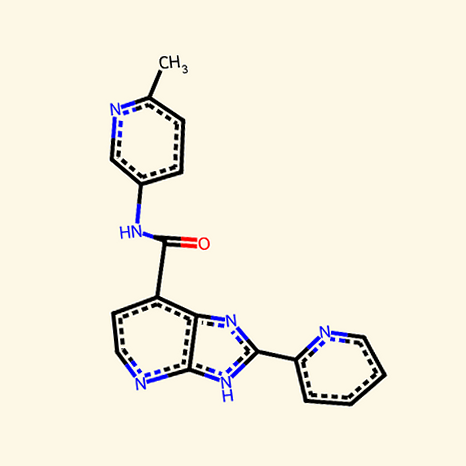 Cc1ccc(NC(=O)c2ccnc3[nH]c(-c4ccccn4)nc23)cn1